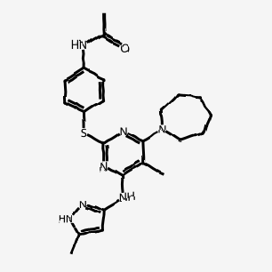 CC(=O)Nc1ccc(Sc2nc(Nc3cc(C)[nH]n3)c(C)c(N3CCCCCC3)n2)cc1